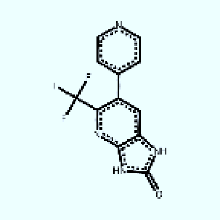 O=c1[nH]c2cc(-c3ccncc3)c(C(F)(F)F)nc2[nH]1